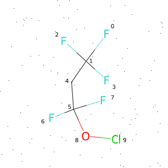 FC(F)(F)CC(F)(F)OCl